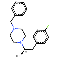 C[C@H](Cc1ccc(F)cc1)N1CCN(Cc2ccccc2)CC1